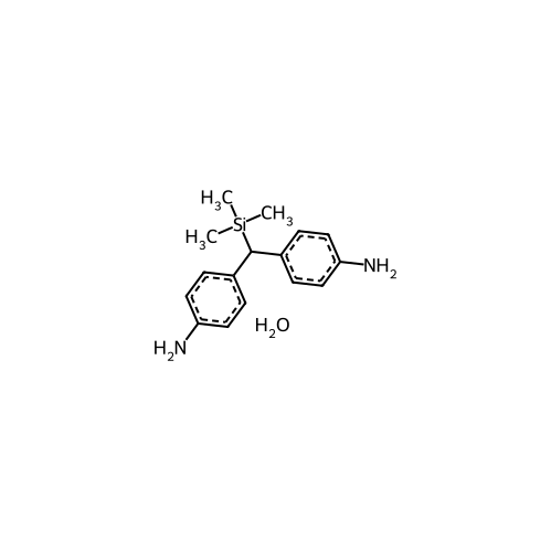 C[Si](C)(C)C(c1ccc(N)cc1)c1ccc(N)cc1.O